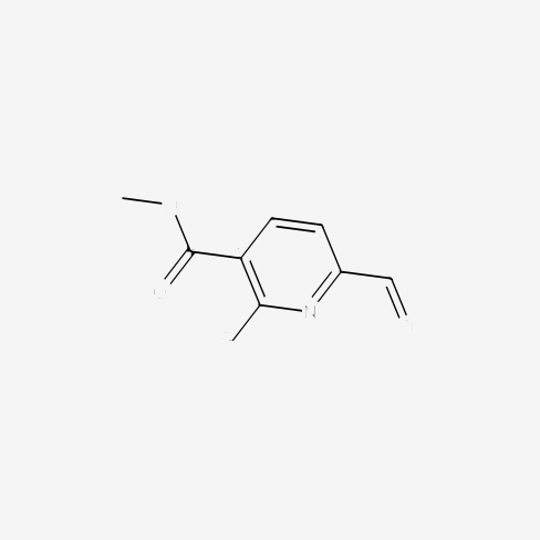 COC(=O)c1ccc(C=O)nc1Cl